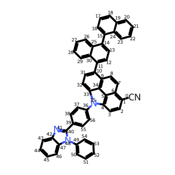 N#Cc1ccc2c3c1ccc1c(-c4ccc(-c5cccc6ccccc56)c5ccccc45)ccc(c13)n2-c1ccc(-c2nc3ccccc3n2-c2ccccc2)cc1